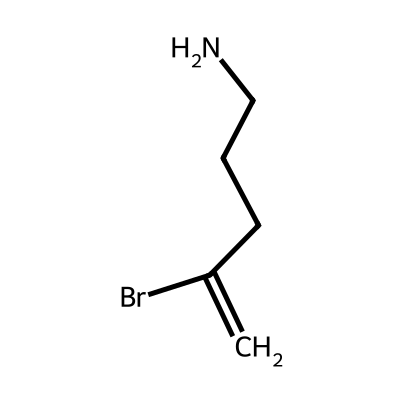 C=C(Br)CCCN